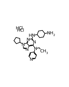 CCN(c1ccncc1)c1nc(NC2CCC(N)CC2)nc2c1ncn2C1CCCC1.Cl.Cl